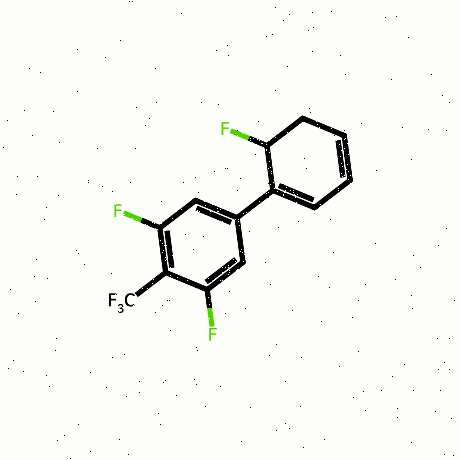 Fc1cc(C2=CC=CCC2F)cc(F)c1C(F)(F)F